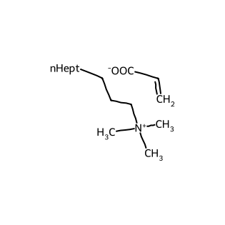 C=CC(=O)[O-].CCCCCCCCCC[N+](C)(C)C